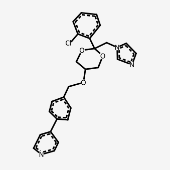 Clc1ccccc1C1(Cn2ccnc2)OCC(OCc2ccc(-c3ccncc3)cc2)CO1